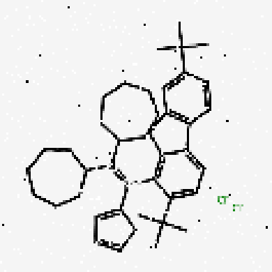 CC(C)(C)c1ccc2c(c1)Cc1c-2ccc(C(C)(C)C)[c]1[Zr+2]([C]1=CC=CC1)=[Si](C1CCCCCC1)C1CCCCCC1.[Cl-].[Cl-]